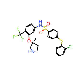 C[C@@]1(Oc2cc(NS(=O)(=O)c3ccc(Sc4ccccc4Cl)cc3)ccc2C(F)(F)F)CCNC1